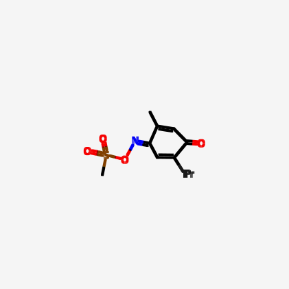 CC1=CC(=O)C(C(C)C)=CC1=NOS(C)(=O)=O